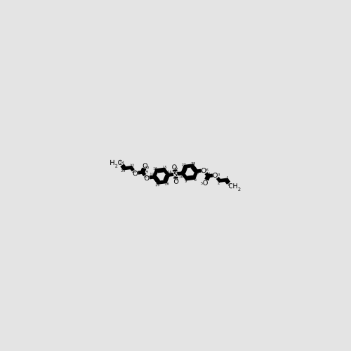 C=CCOC(=O)Oc1ccc(S(=O)(=O)c2ccc(OC(=O)OCC=C)cc2)cc1